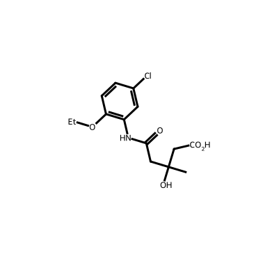 CCOc1ccc(Cl)cc1NC(=O)CC(C)(O)CC(=O)O